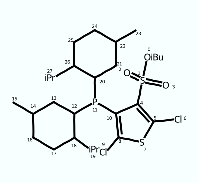 CC(C)COS(=O)(=O)c1c(Cl)sc(Cl)c1P(C1CC(C)CCC1C(C)C)C1CC(C)CCC1C(C)C